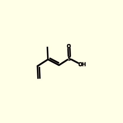 C=CC(C)=CS(=O)O